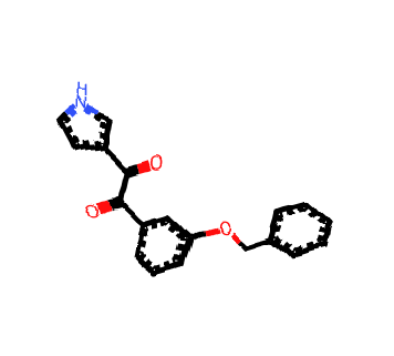 O=C(C(=O)c1cccc(OCc2ccccc2)c1)c1cc[nH]c1